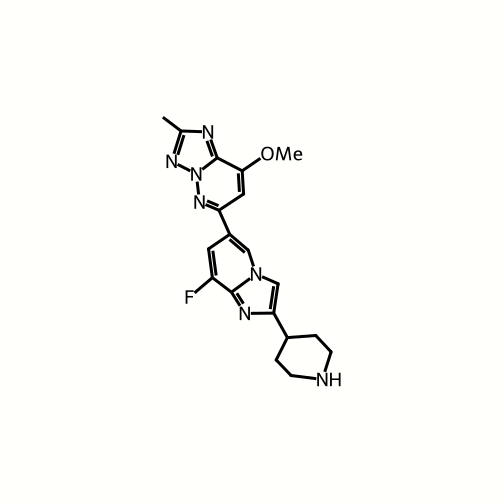 COc1cc(-c2cc(F)c3nc(C4CCNCC4)cn3c2)nn2nc(C)nc12